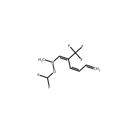 C=C/C=C\C(=C/N(C)OC(F)F)C(F)(F)F